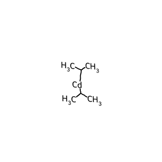 C[CH](C)[Cd][CH](C)C